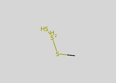 CS[SH2]S